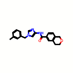 Cc1cccc(Cn2cnc(NC(=O)c3ccc4c(c3)CCOC4)c2)c1